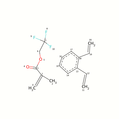 C=C(C)C(=O)OCC(F)(F)F.C=Cc1ccccc1C=C